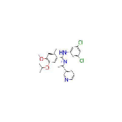 C=C(/N=C(/Nc1cc(Cl)cc(Cl)c1)c1cc(OC(C)C)c(OC)cc1C)c1cccnc1